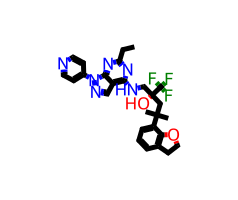 CCc1nc(NCC(O)(CC(C)(C)c2cccc3c2OCC3)C(F)(F)F)c2cnn(-c3ccncc3)c2n1